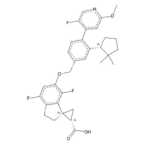 COc1cc(-c2ccc(COc3cc(F)c4c(c3F)[C@@]3(CC4)C[C@@H]3C(=O)O)cc2[C@@H]2CCCC2(C)C)c(F)cn1